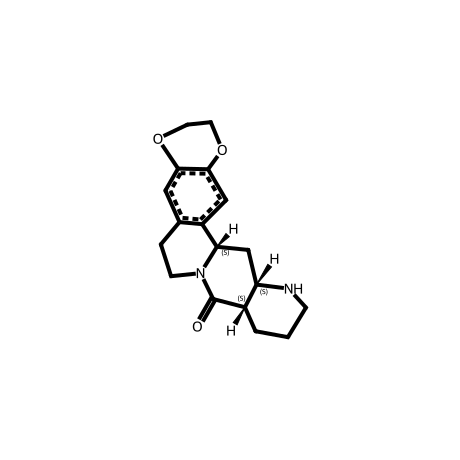 O=C1[C@H]2CCCN[C@H]2C[C@H]2c3cc4c(cc3CCN12)OCCO4